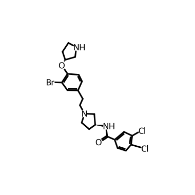 O=C(N[C@H]1CCN(CCc2ccc(O[C@@H]3CCNC3)c(Br)c2)C1)c1ccc(Cl)c(Cl)c1